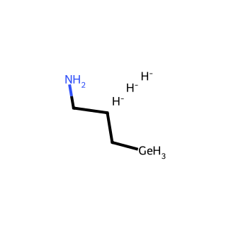 NCC[CH2][GeH3].[H-].[H-].[H-]